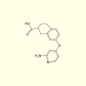 Nc1cc(Oc2ccc3c(c2)CC(C(=O)O)CC3)ccn1